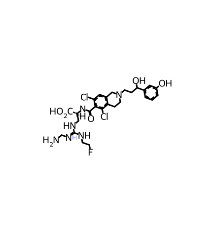 NC/N=C(/NCCF)NC[C@H](NC(=O)c1c(Cl)cc2c(c1Cl)CCN(CCC(O)c1cccc(O)c1)C2)C(=O)O